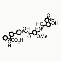 COc1cc(C(=O)NCC(=O)N2CC=C(c3cccc([C@](O)(C(=O)O)c4ccccc4)c3)CC2)ccc1CNC[C@H](O)c1ccc(O)c2[nH]c(=O)ccc12